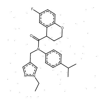 CCn1cc(CN(C(=O)C2CCOc3ccc(F)cc32)c2ccc(C(C)C)cc2)cn1